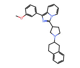 COc1cccc(-c2nc(C3CCN(C4CCc5ccccc5C4)C3)n3ccccc23)c1